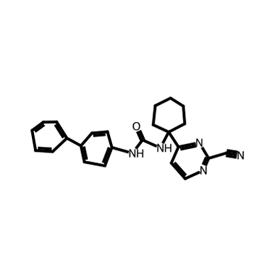 N#Cc1nccc(C2(NC(=O)Nc3ccc(-c4ccccc4)cc3)CCCCC2)n1